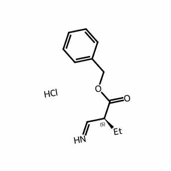 CC[C@@H](C=N)C(=O)OCc1ccccc1.Cl